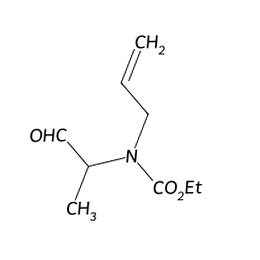 C=CCN(C(=O)OCC)C(C)C=O